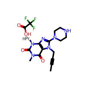 CC#CCn1c(N2CCNCC2)nc2c1c(=O)n(C)c(=O)n2CCC.O=C(O)C(F)(F)F